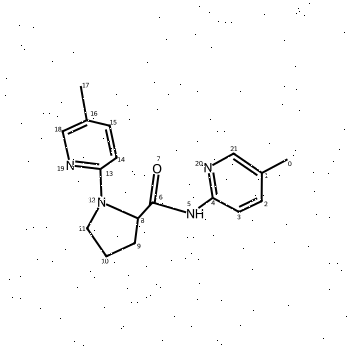 Cc1ccc(NC(=O)C2CCCN2c2ccc(C)cn2)nc1